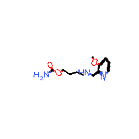 COc1cccnc1CNCCCCOC(N)=O